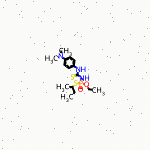 CCOP(=O)(NC(=S)Nc1ccc(N(C)C)cc1)SC(C)CC